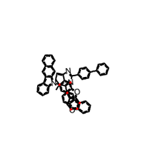 CC1C/C=C(c2cc3oc4ccccc4c3cc2-n2c3ccccc3c3cc4ccccc4cc32)/N=C(c2ccc(-c3ccccc3)cc2)\N=C/1c1ccc2oc3ccccc3c2c1